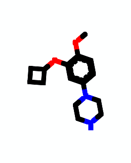 COc1ccc(N2CCNCC2)cc1OC1CCC1